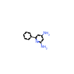 Nc1cc(N)nc(-c2ccccc2)c1